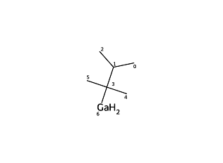 CC(C)[C](C)(C)[GaH2]